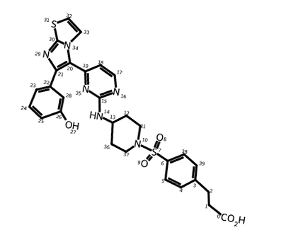 O=C(O)CCc1ccc(S(=O)(=O)N2CCC(Nc3nccc(-c4c(-c5cccc(O)c5)nc5sccn45)n3)CC2)cc1